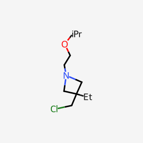 CCC1(CCl)CN(CCOC(C)C)C1